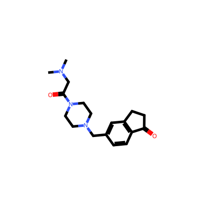 CN(C)CC(=O)N1CCN(Cc2ccc3c(c2)CCC3=O)CC1